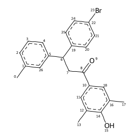 Cc1cccc(C(CC(=O)c2cc(C)c(O)c(C)c2)c2ccc(Br)cc2)c1